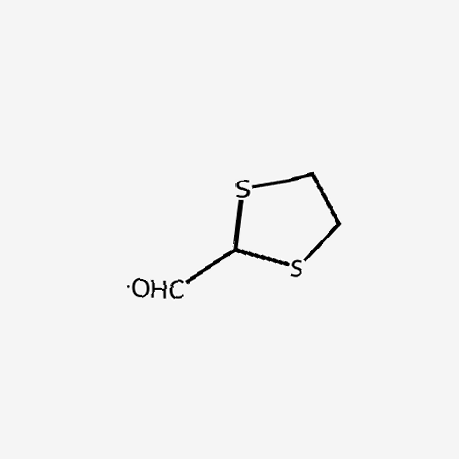 O=[C]C1SCCS1